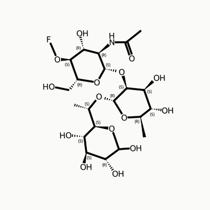 CC(=O)N[C@H]1[C@H](O[C@@H]2[C@@H](O[C@@H](C)[C@H]3OC(O)[C@H](O)[C@@H](O)[C@@H]3O)O[C@H](C)[C@@H](O)[C@@H]2O)O[C@H](CO)[C@@H](OF)[C@@H]1O